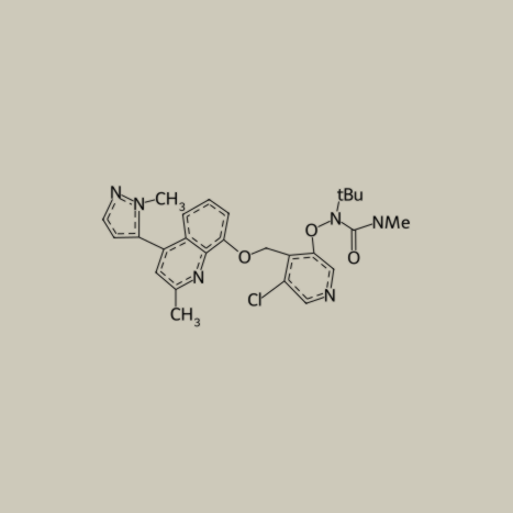 CNC(=O)N(Oc1cncc(Cl)c1COc1cccc2c(-c3ccnn3C)cc(C)nc12)C(C)(C)C